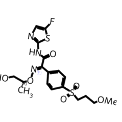 COCCCS(=O)(=O)c1ccc(/C(=N\O[C@H](C)CO)C(=O)Nc2ncc(F)s2)cc1